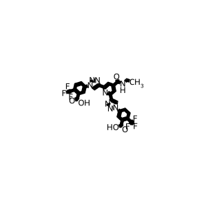 CCNC(=O)c1cc(-c2cn(C3=CC(C(=O)O)=C(C(F)(F)F)CC3)nn2)nc(-c2cn(-c3ccc(C(F)(F)F)c(C(=O)O)c3)nn2)c1